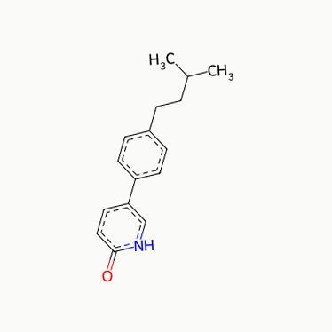 CC(C)CCc1ccc(-c2ccc(=O)[nH]c2)cc1